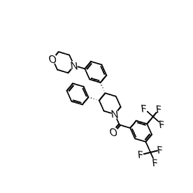 O=C(c1cc(C(F)(F)F)cc(C(F)(F)F)c1)N1CC[C@@H](c2cccc(N3CCOCC3)c2)[C@@H](c2ccccc2)C1